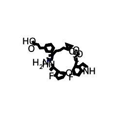 C=C1N/C(=C\N)C(C)(c2cccc(CCC(=O)O)c2)CCCC2(CC2)CS(=O)(=O)CCc2c(c(F)cc3[nH]ccc23)Oc2ccc(F)c1c2